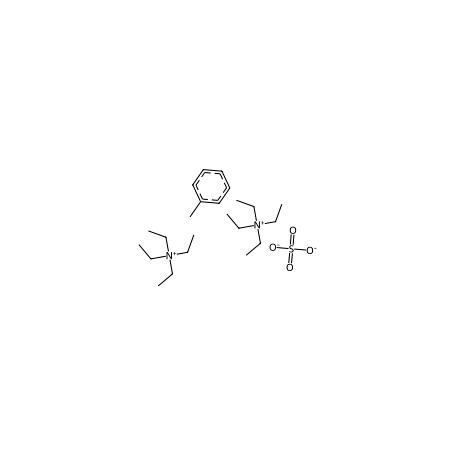 CC[N+](CC)(CC)CC.CC[N+](CC)(CC)CC.Cc1ccccc1.O=S(=O)([O-])[O-]